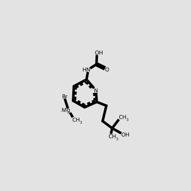 CC(C)(O)CCc1cccc(NC(=O)O)n1.[CH3][Mg][Br]